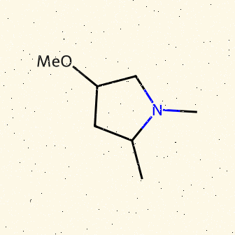 COC1CC(C)N(C)C1